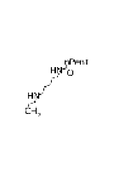 [CH2]CCCCC(=O)NCCCCCNCC=C